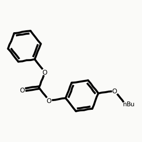 CCCCOc1ccc(OC(=O)Oc2ccccc2)cc1